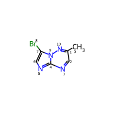 Cc1cnc2ncc(Br)n2n1